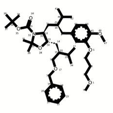 COCCCOc1cc(C[C@@H](C[C@H]2[C@H](C[C@H](COCc3ccccc3)C(C)C)OC(C)(C)N2C(=O)OC(C)(C)C)C(C)C)ccc1OC